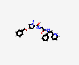 O=C(CNC(=O)[C@@H]1C[C@@H](OCc2ccccc2)CN1)NC(Cc1ccccn1)c1ccccc1